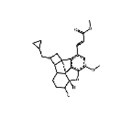 COC(=O)/C=C/c1cc(OC)c2c3c1C14CN(CC5CC5)C1C1CCC(O)[C@@H](O2)[C@@]31C4